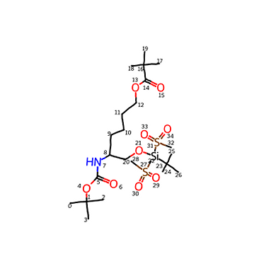 CC(C)(C)OC(=O)NC(CCCCOC(=O)C(C)(C)C)CO[Si](C(C)(C)C)(S(C)(=O)=O)S(C)(=O)=O